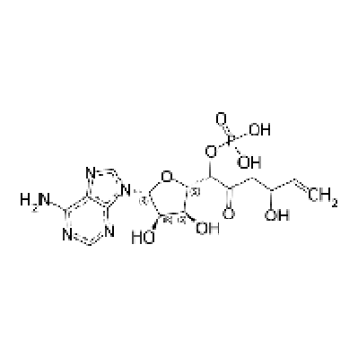 C=CC(O)CC(=O)C(OP(=O)(O)O)[C@H]1O[C@@H](n2cnc3c(N)ncnc32)[C@H](O)[C@@H]1O